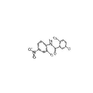 O=C(Nc1ccc([N+](=O)[O-])cc1Cl)c1cc(Cl)ccc1Cl